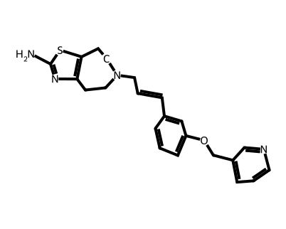 Nc1nc2c(s1)CCN(CC=Cc1cccc(OCc3cccnc3)c1)CC2